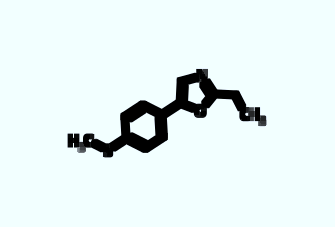 CCc1ncc(-c2ccc(SC)cc2)o1